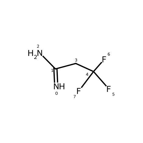 N=C(N)CC(F)(F)F